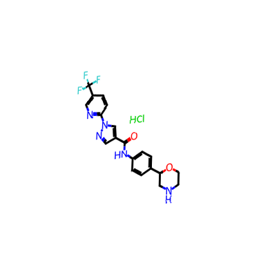 Cl.O=C(Nc1ccc(C2CNCCO2)cc1)c1cnn(-c2ccc(C(F)(F)F)cn2)c1